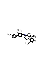 COc1cc(/C=C2\CCCN3C2=NOC3(C)c2cc(C)cc(F)c2)ccc1-n1cnc(C)c1